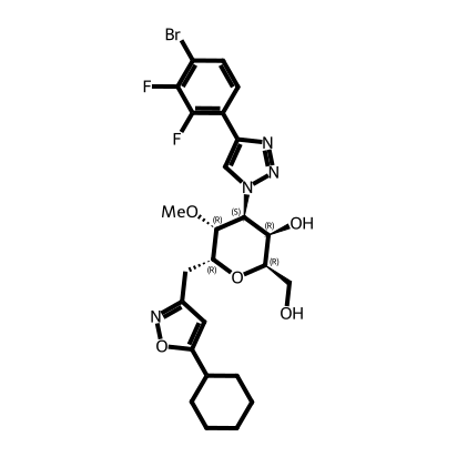 CO[C@@H]1[C@@H](n2cc(-c3ccc(Br)c(F)c3F)nn2)[C@@H](O)[C@@H](CO)O[C@@H]1Cc1cc(C2CCCCC2)on1